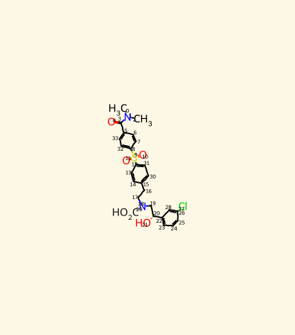 CN(C)C(=O)c1ccc(S(=O)(=O)c2ccc(CCN(C[C@@H](O)c3cccc(Cl)c3)C(=O)O)cc2)cc1